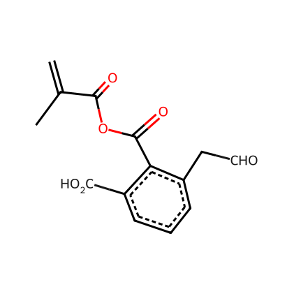 C=C(C)C(=O)OC(=O)c1c(CC=O)cccc1C(=O)O